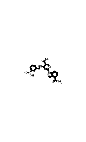 NC(=O)c1cnc(-n2ncc3c(C(N)=O)cccc32)nc1NCc1cccc(B(O)O)c1